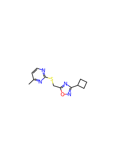 Cc1ccnc(SCc2nc(C3CCC3)no2)n1